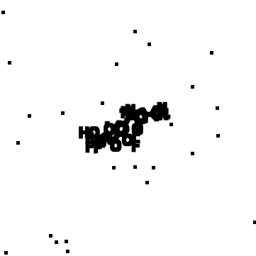 COc1cc(-c2c3c(OC)cc(-c4cnn(C)c4)cc3nn2C)cc(OC(F)F)c1C(=O)N1CC(O)(C(F)(F)F)C1